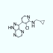 Clc1c(-c2n[nH]c3nccnc23)ccnc1NCC1CC1